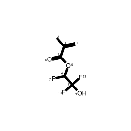 C=C(C)C(=O)OC(F)C(O)(F)F